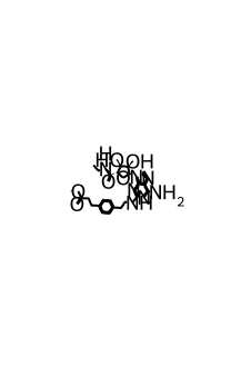 CCNC(=O)[C@H]1O[C@@H](n2cnc3c(N)nc(NCCc4ccc(CCC(=O)OC)cc4)nc32)[C@H](O)[C@@H]1O